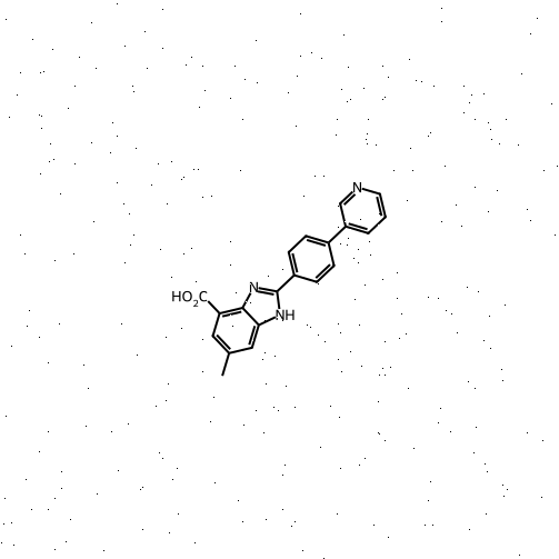 Cc1cc(C(=O)O)c2nc(-c3ccc(-c4cccnc4)cc3)[nH]c2c1